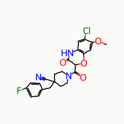 COc1cc2c(cc1Cl)NC(=O)C(C(=O)N1CCC(C#N)(Cc3ccc(F)cc3)CC1)O2